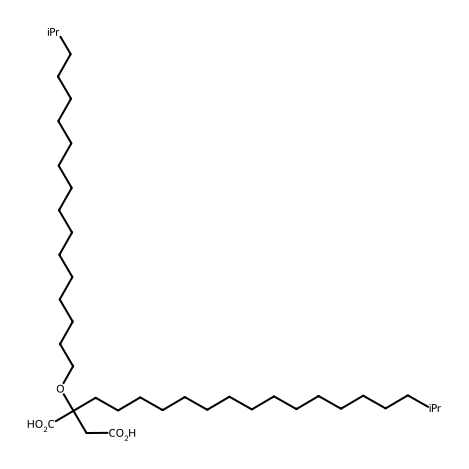 CC(C)CCCCCCCCCCCCCCCOC(CCCCCCCCCCCCCCCC(C)C)(CC(=O)O)C(=O)O